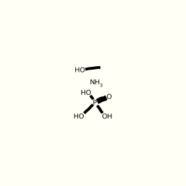 CO.N.O=P(O)(O)O